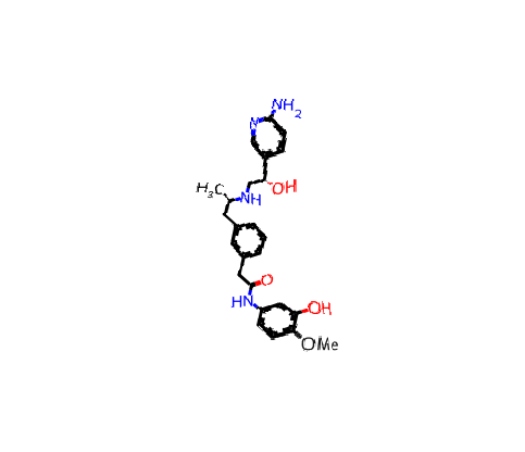 COc1ccc(NC(=O)Cc2cccc(C[C@@H](C)NC[C@@H](O)c3ccc(N)nc3)c2)cc1O